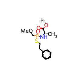 COCP(=O)(N[C@@H](C)C(=O)OC(C)C)SCCc1ccccc1